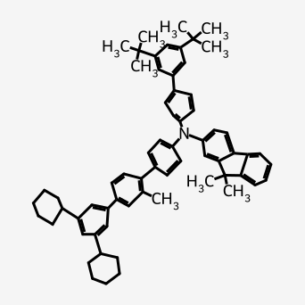 Cc1cc(-c2cc(C3CCCCC3)cc(C3CCCCC3)c2)ccc1-c1ccc(N(c2ccc(-c3cc(C(C)(C)C)cc(C(C)(C)C)c3)cc2)c2ccc3c(c2)C(C)(C)c2ccccc2-3)cc1